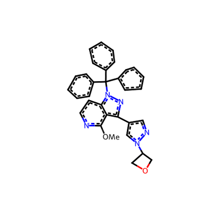 COc1nccc2c1c(-c1cnn(C3COC3)c1)nn2C(c1ccccc1)(c1ccccc1)c1ccccc1